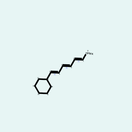 CCCCCC/C=C/C=C/C=C/C1CCCCC1